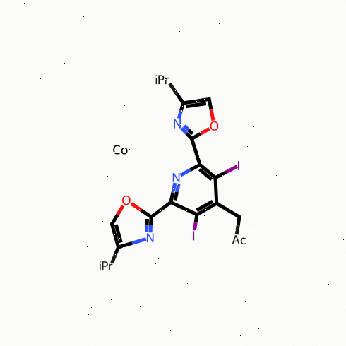 CC(=O)Cc1c(I)c(-c2nc(C(C)C)co2)nc(-c2nc(C(C)C)co2)c1I.[Co]